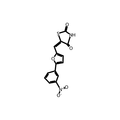 O=C1NC(=O)/C(=C\c2ccc(-c3cccc([N+](=O)[O-])c3)o2)S1